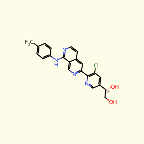 OC[C@@H](O)c1cnc(-c2cc3ccnc(Nc4ccc(C(F)(F)F)cc4)c3cn2)c(Cl)c1